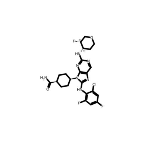 NC(=O)[C@H]1CC[C@@H](n2c(Nc3c(F)cc(F)cc3Cl)nc3cnc(N[C@H]4CCOC[C@H]4F)nc32)CC1